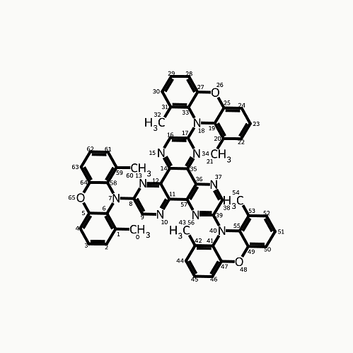 Cc1cccc2c1N(c1cnc3c(n1)c1ncc(N4c5c(C)cccc5Oc5cccc(C)c54)nc1c1ncc(N4c5c(C)cccc5Oc5cccc(C)c54)nc31)c1c(C)cccc1O2